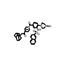 CC(C)N1CCN(c2ccc(C(=O)N3CC4CCC3CN4C(=O)CC34CC5CC(CC(C5)C3)C4)cc2NS(=O)(=O)c2ccc3ccccc3c2)CC1